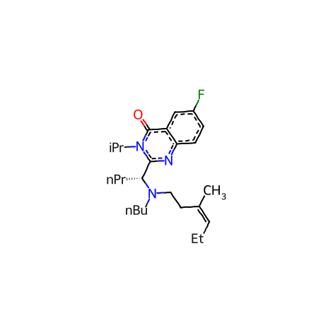 CC/C=C(/C)CCN(CCCC)[C@H](CCC)c1nc2ccc(F)cc2c(=O)n1C(C)C